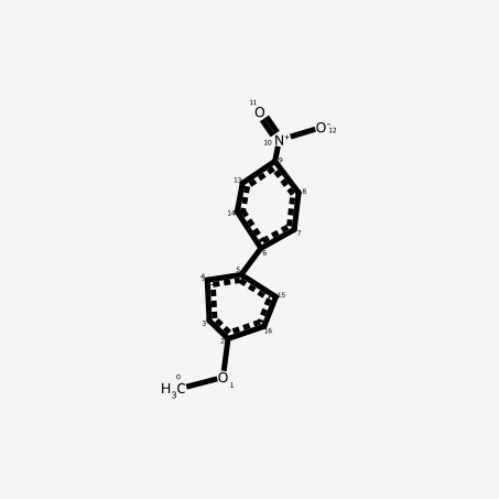 COc1c[c]c(-c2ccc([N+](=O)[O-])cc2)cc1